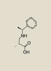 C[C@H](CN[C@@H](C)c1ccccc1)C(=O)O